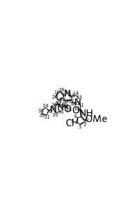 COc1ccc(Cl)cc1NC(=O)CN1CCc2nc3ccccc3c(C(=O)N3CCN(C4CCCC4)CC3)c2C1